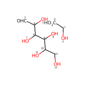 O=C(O)CO.O=CC(O)C(O)C(O)C(O)CO